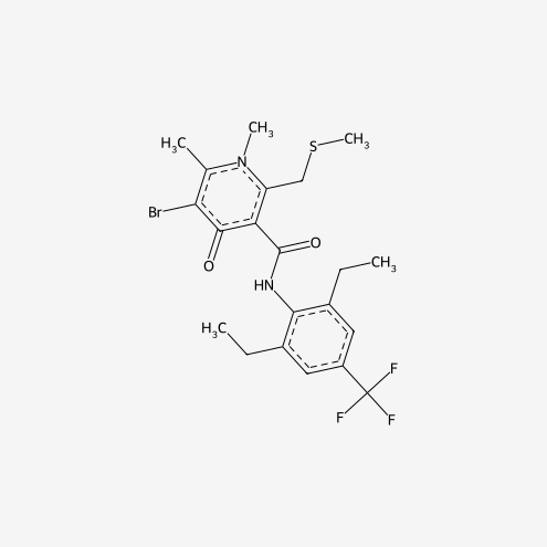 CCc1cc(C(F)(F)F)cc(CC)c1NC(=O)c1c(CSC)n(C)c(C)c(Br)c1=O